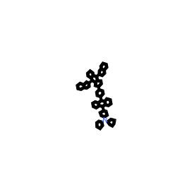 c1ccc(N(c2ccccc2)c2ccc(-c3c4ccccc4c(-c4ccc(-c5ccc6c(-c7ccc8ccccc8c7)c7ccccc7c(-c7ccc8ccccc8c7)c6c5)cc4)c4ccccc34)cc2)cc1